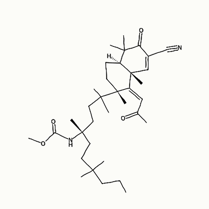 CCCC(C)(C)CC[C@@](C)(CCC(C)(C)[C@]1(C)CC[C@H]2C(C)(C)C(=O)C(C#N)=C[C@]2(C)/C1=C/C(C)=O)NC(=O)OC